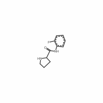 O=C(Nc1ccccc1F)C1CCCN1